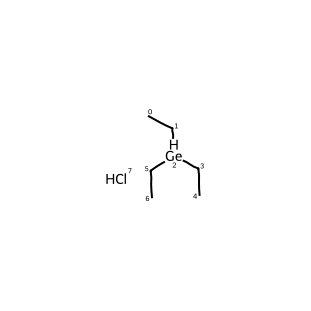 C[CH2][GeH]([CH2]C)[CH2]C.Cl